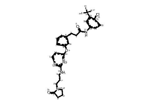 O=C(CCc1cccc(Oc2ccnc(NCCCN3CCCC3=O)n2)c1)Nc1ccc(Cl)c(C(F)(F)F)c1